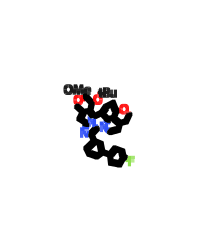 COC(=O)C(OC(C)(C)C)c1c(C)cc2nc(-c3cccc(-c4ccc(F)cc4)c3)cn2c1-c1ccc2c3c(ccnc13)CCO2